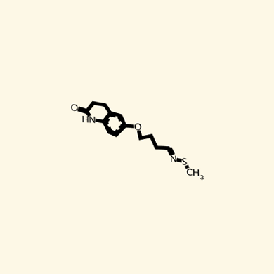 CSN=CCCCOc1ccc2c(c1)CCC(=O)N2